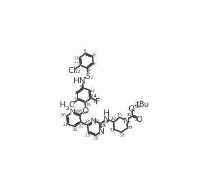 Cc1cc(NSc2ccccc2Cl)cc(F)c1Oc1ncccc1-c1ccnc(NC2CCCN(C(=O)OC(C)(C)C)C2)n1